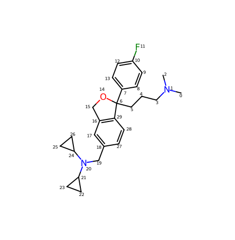 CN(C)CCCC1(c2ccc(F)cc2)OCc2cc(CN(C3CC3)C3CC3)ccc21